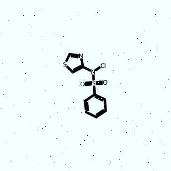 O=S(=O)(c1[c]cccc1)N(Cl)c1cscn1